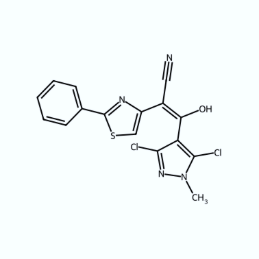 Cn1nc(Cl)c(/C(O)=C(/C#N)c2csc(-c3ccccc3)n2)c1Cl